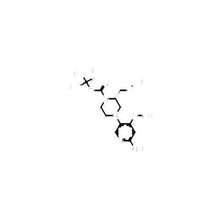 COC[C@H]1CN(c2cnc(N)cc2OC)CCN1C(=O)OC(C)(C)C